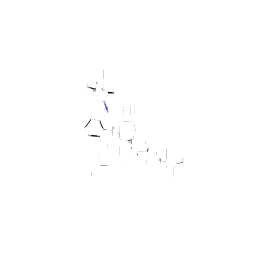 CC(C)COc1cccc(/C=C2\SC(=O)NC2=O)c1N1CCC[C@@H](NC(=O)OC(C)(C)C)C1.Cl